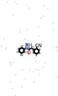 N#Cc1ccccc1CC(=O)N(N)c1ccccc1